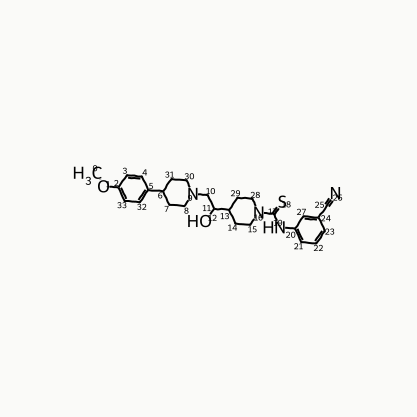 COc1ccc(C2CCN(CC(O)C3CCN(C(=S)Nc4cccc(C#N)c4)CC3)CC2)cc1